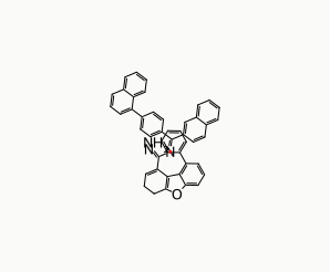 N/N=C(\N=C(/c1ccc(-c2cccc3ccccc23)cc1)c1ccc2ccccc2c1)C1=CCCc2oc3cccc(-c4ccccc4)c3c21